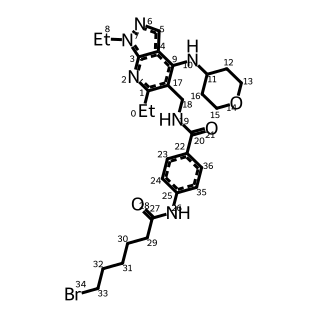 CCc1nc2c(cnn2CC)c(NC2CCOCC2)c1CNC(=O)c1ccc(NC(=O)CCCCCBr)cc1